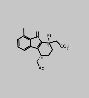 CC[C@@]1(CC(=O)O)CC[C@H](CC(C)=O)c2c1[nH]c1c(C)cccc21